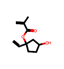 C=CC1(OC(=O)C(=C)C)CCC(O)C1